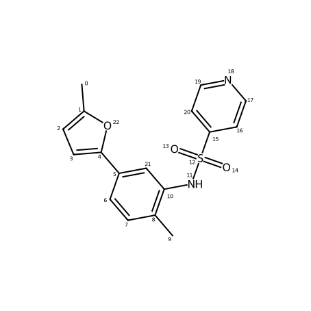 Cc1ccc(-c2ccc(C)c(NS(=O)(=O)c3ccncc3)c2)o1